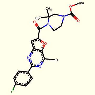 CC(C)c1nc(-c2ccc(F)cc2)nc2cc(C(=O)N3CCN(C(=O)OC(C)(C)C)CC3(C)C)oc12